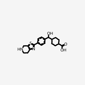 O=C(O)C1CCC(C(O)c2ccc(-c3nc4c(s3)CNCC4)cc2)CC1